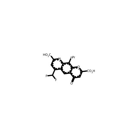 CCCc1c2nc(C(=O)O)cc(C(F)F)c2cc2c(=O)cc(C(=O)O)oc12